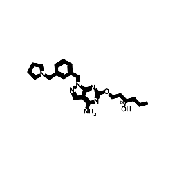 CCC[C@H](O)CCOc1nc(N)c2cnn(Cc3cccc(CN4CCCC4)c3)c2n1